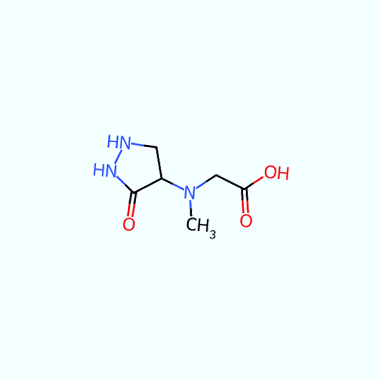 CN(CC(=O)O)C1CNNC1=O